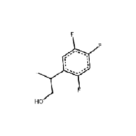 [CH2]C(CO)c1cc(F)c(F)cc1F